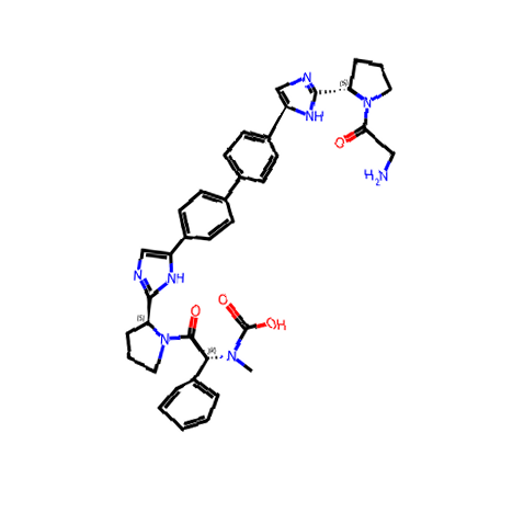 CN(C(=O)O)[C@@H](C(=O)N1CCC[C@H]1c1ncc(-c2ccc(-c3ccc(-c4cnc([C@@H]5CCCN5C(=O)CN)[nH]4)cc3)cc2)[nH]1)c1ccccc1